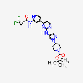 CC(C)(C)OC(=O)N1CCC(n2cc(Nc3nccc(-c4ccnc(NC(=O)C5CC5(F)F)c4)n3)cn2)CC1